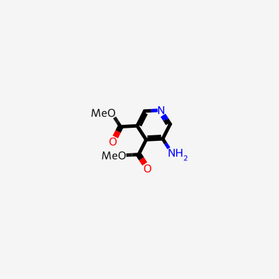 COC(=O)c1cncc(N)c1C(=O)OC